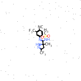 [C-]#[N+]c1ccc(/N=C(\NS(C)(=O)=O)C2(C)CC(C(F)(F)F)=NN2)cc1C(F)(F)F